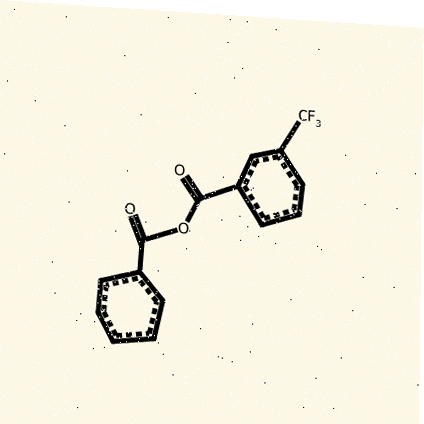 O=C(OC(=O)c1cccc(C(F)(F)F)c1)c1ccccc1